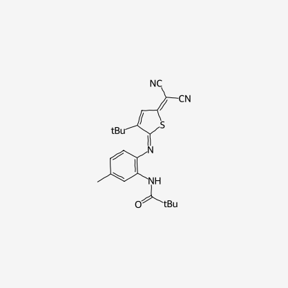 Cc1ccc(/N=C2/SC(=C(C#N)C#N)C=C2C(C)(C)C)c(NC(=O)C(C)(C)C)c1